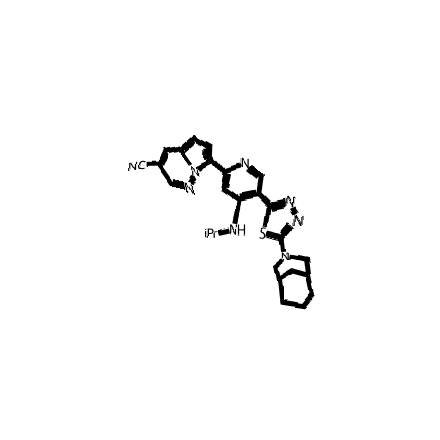 CC(C)Nc1cc(-c2ccc3cc(C#N)cnn23)ncc1-c1nnc(N2CC3CCCC(C3)C2)s1